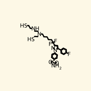 NS(=O)(=O)c1ccc(-n2nc(C(F)(F)CCCCCN(CCS)CCNCCS)cc2-c2ccc(F)cc2)cc1